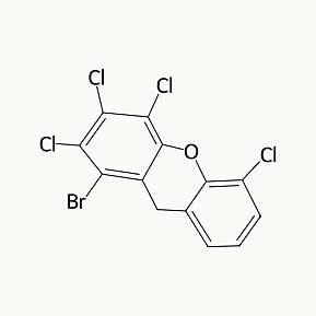 Clc1cccc2c1Oc1c(Cl)c(Cl)c(Cl)c(Br)c1C2